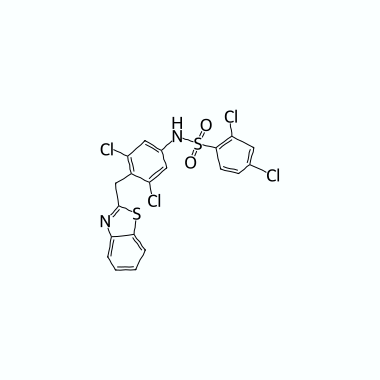 O=S(=O)(Nc1cc(Cl)c(Cc2nc3ccccc3s2)c(Cl)c1)c1ccc(Cl)cc1Cl